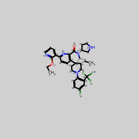 CCOc1ncccc1-c1ccc2c(n1)C(=O)N([C@@H]1CCNC1)C[C@]21CCN(c2ccc(F)cc2C(F)(F)F)C[C@H]1CC